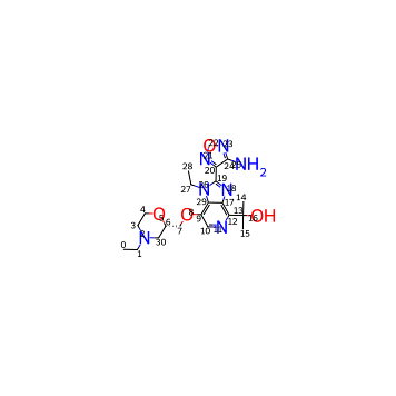 CCN1CCO[C@H](COc2cnc(C(C)(C)O)c3nc(-c4nonc4N)n(CC)c23)C1